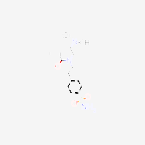 CN(CCN(CCc1ccc(S(N)(=O)=O)cc1)C(=O)C(C)(C)C)C(C)(C)C